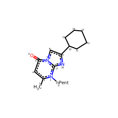 CCCCCn1c(C)cc(=O)n2cc(C3CCCCC3)nc12